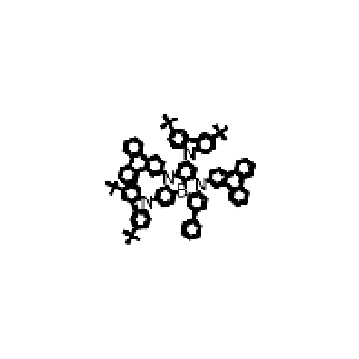 CC(C)(C)c1ccc2c(c1)c1cc(C(C)(C)C)ccc1n2-c1ccc2c(c1)N(c1ccc3c4ccccc4c4ccccc4c3c1)c1cc(-n3c4ccc(C(C)(C)C)cc4c4cc(C(C)(C)C)ccc43)cc3c1B2c1cc(-c2ccccc2)ccc1N3c1ccc2c3ccccc3c3ccccc3c2c1